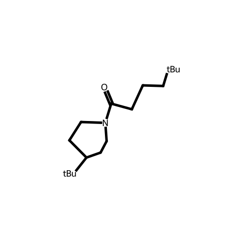 CC(C)(C)CCCC(=O)N1CCC(C(C)(C)C)CC1